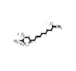 CC(C)CCCC/C=C/CC(C)CN(C)C(C)C